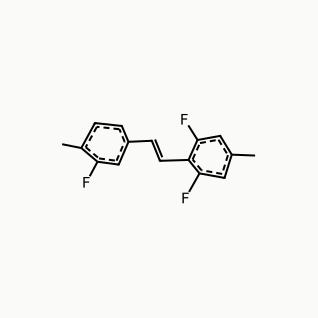 Cc1cc(F)c(C=Cc2ccc(C)c(F)c2)c(F)c1